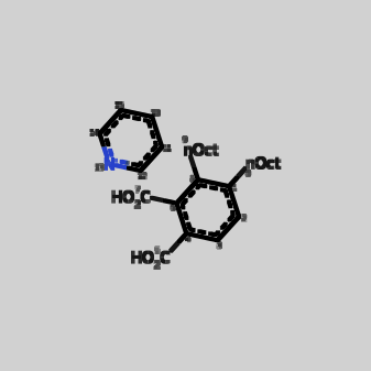 CCCCCCCCc1ccc(C(=O)O)c(C(=O)O)c1CCCCCCCC.c1ccncc1